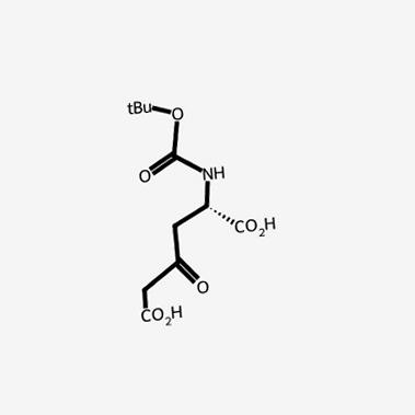 CC(C)(C)OC(=O)N[C@@H](CC(=O)CC(=O)O)C(=O)O